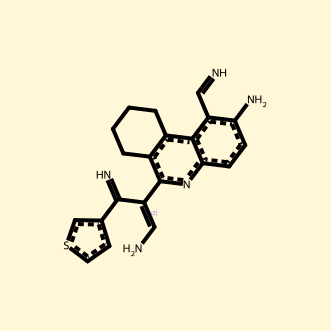 N=Cc1c(N)ccc2nc(/C(=C/N)C(=N)c3ccsc3)c3c(c12)CCCC3